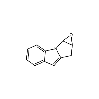 c1ccc2c(c1)cc1n2C2OC2C1